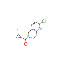 CC1CC1C(=O)N1CCc2nc(Cl)ccc2C1